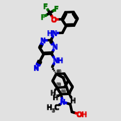 CN(CCO)[C@@H]1[C@@H]2CC3C[C@H]1C[C@](CNc1nc(NCc4ccccc4OC(F)(F)F)ncc1C#N)(C3)C2